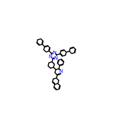 C1=CCC(C2C=CC(c3nc(C4=CC=C(C5=CCCC=C5)CC4)nc(C4CCCC(C5CC(C6CC=C7C=CC=CC7C6)=CN=C5c5ccccc5)C4)n3)=CC2)C=C1